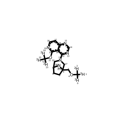 [2H]C([2H])([2H])OCC12CCC(CN(c3ncnc4ccnc(OC([2H])([2H])[2H])c34)C1)N2